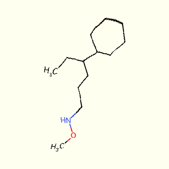 CCC(CCCNOC)C1CCCCC1